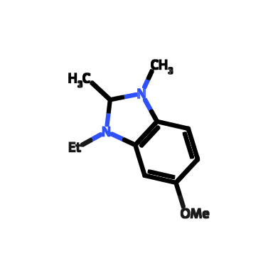 CCN1c2cc(OC)ccc2N(C)C1C